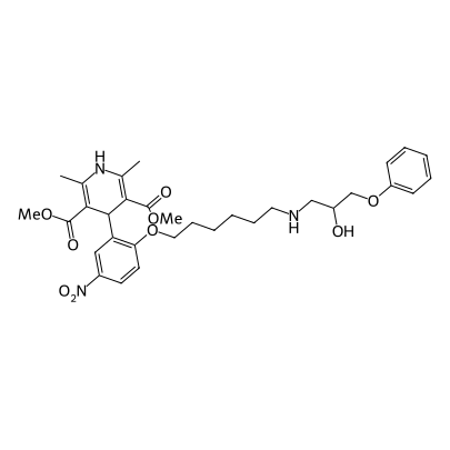 COC(=O)C1=C(C)NC(C)=C(C(=O)OC)C1c1cc([N+](=O)[O-])ccc1OCCCCCCNCC(O)COc1ccccc1